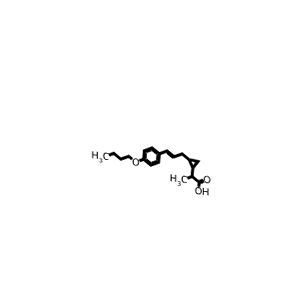 CCCCOc1ccc(C=CCC2CC2C(C)C(=O)O)cc1